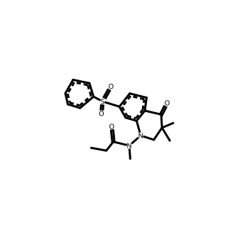 CCC(=O)N(C)N1CC(C)(C)C(=O)c2ccc(S(=O)(=O)c3ccccc3)cc21